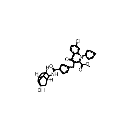 COC(=O)c1c(Cc2ccc(C(=O)NC3[C@@H]4C[C@H]5C[C@H]3C[C@](O)(C5)C4)cc2)c(=O)c2ccc(Cl)cc2n1-c1ccccc1